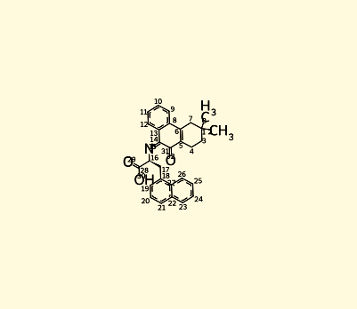 CC1(C)CCC2=C(C1)c1ccccc1C(=N[C@@H](Cc1cccc3ccccc13)C(=O)O)C2=O